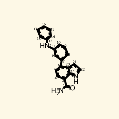 NC(=O)c1ccc(-c2cccc(Nc3ccccc3)c2)c2cc[nH]c12